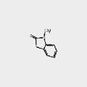 O=c1sc2ccccc2n1S(=O)(=O)O